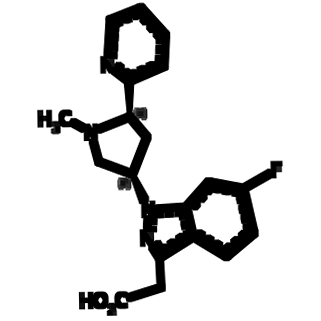 CN1C[C@H](n2nc(CC(=O)O)c3ccc(F)cc32)C[C@@H]1c1ccccn1